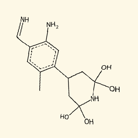 Cc1cc(C=N)c(N)cc1C1CC(O)(O)NC(O)(O)C1